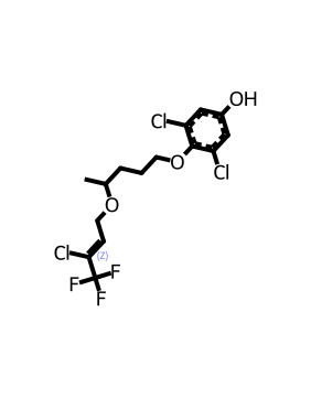 CC(CCCOc1c(Cl)cc(O)cc1Cl)OC/C=C(\Cl)C(F)(F)F